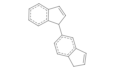 C1=Cc2cc(C3C=Cc4ccccc43)ccc2C1